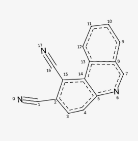 N#Cc1ccc2ncc3ccccc3c2c1C#N